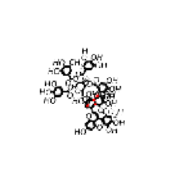 Cc1cc(C(=O)OC2[C@H](OC(=O)c3cc(O)c(O)c(O)c3)OC3COC(=O)c4cc(Oc5c(-c6cc(O)c(O)c(O)c6)[o+]c6cc(O)cc7c6c5-c5c(C(=O)O)cc(O)c(O)c5O7)c(O)c(O)c4-c4c(cc(O)c(O)c4O)C(=O)O[C@H]3[C@@H]2OC(=O)c2cc(O)c(O)c(O)c2)cc(O)c1O